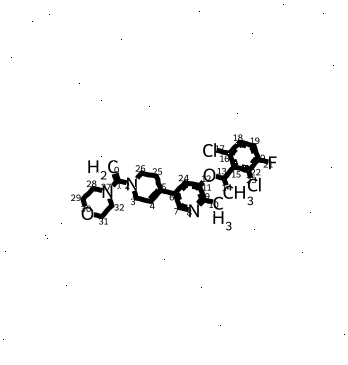 C=C(N1CC=C(c2cnc(C)c(OC(C)c3c(Cl)ccc(F)c3Cl)c2)CC1)N1CCOCC1